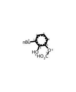 CCCCc1cccc(OC(=O)O)c1O